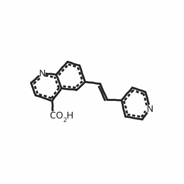 O=C(O)c1ccnc2ccc(C=Cc3ccncc3)cc12